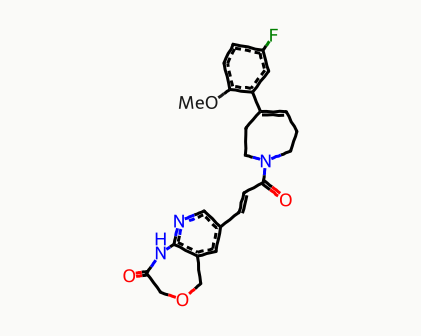 COc1ccc(F)cc1C1=CCCN(C(=O)/C=C/c2cnc3c(c2)COCC(=O)N3)CC1